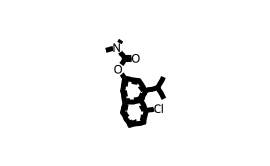 CC(C)c1cc(OC(=O)N(C)C)cc2cccc(Cl)c12